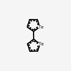 c1c[te]c(-c2ccc[te]2)c1